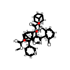 COC(=O)c1ccc(NC(=O)NC2C3CC(OCc4c(-c5c(Cl)cccc5Cl)noc4C4CC4)CC2C3)cc1-c1cccnc1